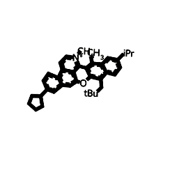 Cc1c2c(c(CC(C)(C)C)c3ccc(C(C)C)cc13)Oc1cc3cc(C4CCCC4)ccc3c3cc[n+](C)c-2c13